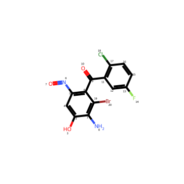 Nc1c(O)cc(N=O)c(C(=O)c2cc(F)ccc2Cl)c1Br